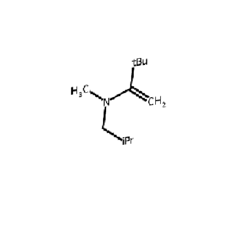 C=C(N(C)CC(C)C)C(C)(C)C